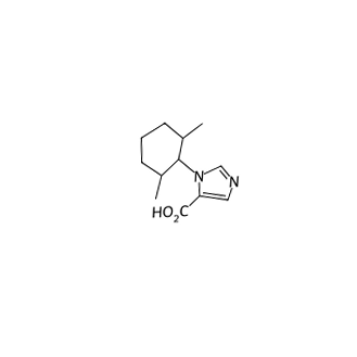 CC1CCCC(C)C1n1cncc1C(=O)O